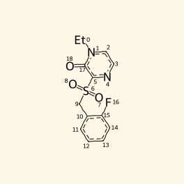 CCn1ccnc(S(=O)(=O)Cc2ccccc2F)c1=O